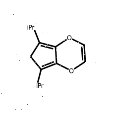 CC(C)C1=C2OC=COC2=C(C(C)C)C1